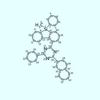 C[Si]1(c2ccccc2)c2ccccc2-c2c(-c3nc(-c4ccccc4)nc(-c4ccc5ccccc5c4)n3)cccc21